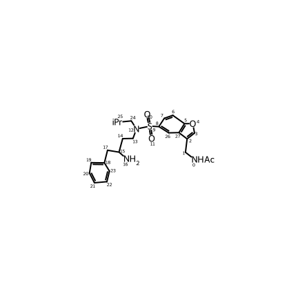 CC(=O)NCc1coc2ccc(S(=O)(=O)N(CCC(N)Cc3ccccc3)CC(C)C)cc12